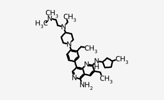 CCc1cc(-c2cnc(N)c3cc(CC)c(NC4CCC(C)C4)nc23)ccc1N1CCC(N(CC)CCN(C)C)CC1